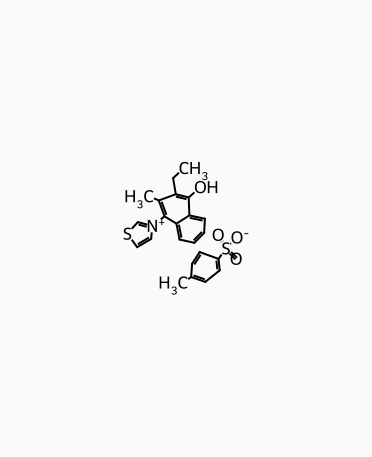 CCc1c(C)c(-[n+]2ccsc2)c2ccccc2c1O.Cc1ccc(S(=O)(=O)[O-])cc1